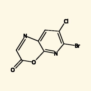 O=c1cnc2cc(Cl)c(Br)nc2o1